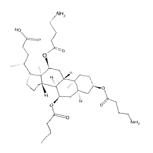 CCCC(=O)O[C@@H]1C[C@@H]2C[C@H](OC(=O)CCCN)CC[C@]2(C)[C@H]2C[C@H](OC(=O)CCCN)[C@]3(C)[C@@H]([C@H](C)CCC(=O)O)CC[C@H]3[C@H]12